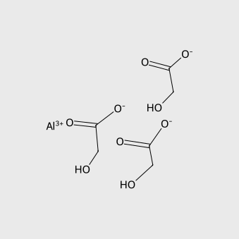 O=C([O-])CO.O=C([O-])CO.O=C([O-])CO.[Al+3]